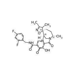 CC1=NO[C@@]2(CC[C@H](C)N3C[C@H]2n2cc(C(=O)NCc4ccc(F)cc4F)c(=O)c(O)c2C3=O)C1C